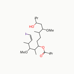 COC(CC(O)C(C)C)C(C)CCC(OC(=O)C(C)C)C(C)C(OC)C(C)C=CI